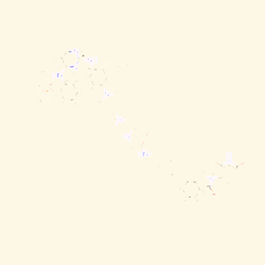 COc1cc(N2CCC(N3CCN(CC(=O)NCCCCSc4cccc5c4CN(C4CCC(=O)NC4=O)C5=O)CC3)CC2)ccc1Nc1ncc(Cl)c(Nc2ccccc2P(=O)(OC)OC)n1